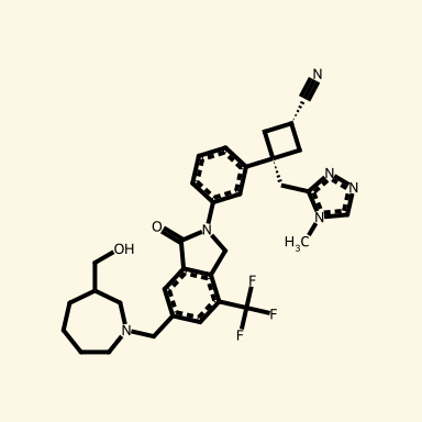 Cn1cnnc1C[C@]1(c2cccc(N3Cc4c(cc(CN5CCCCC(CO)C5)cc4C(F)(F)F)C3=O)c2)C[C@H](C#N)C1